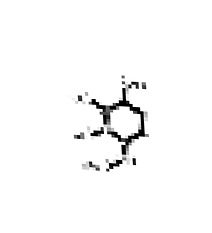 CCCCCCCCC1CCN(NCCCCC)N(CCCC)N1CCCCCCCC